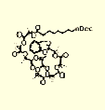 CCCCCCCCCCCCCCCCCC(=O)O[C@@H](C)C(=O)O[C@@H](C)C(=O)O[C@@H](C)C(=O)O[C@@H](C)C(=O)O[C@@H](C)C(=O)O[C@@H](C)C(=O)O[C@@H](C)C(=O)O[C@@H](C)C(=O)OCc1ccccc1